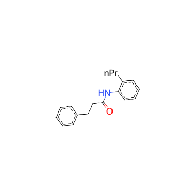 CCCc1ccccc1NC(=O)CCc1ccccc1